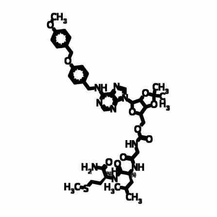 COc1ccc(COc2ccc(CNc3ncnc4c3ncn4C3OC(COC(=O)NCC(=O)N[C@@H](CC(C)C)C(=O)N[C@@H](CCSC)C(N)=O)C4OC(C)(C)OC43)cc2)cc1